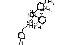 COc1cccc(OC)c1-n1c(NSCCc2ccc(Cl)cc2)nnc1-c1ccc(C)nc1